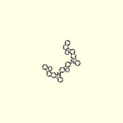 c1ccc2c(c1)ccc1oc3c4cc5c(cc4ccc3c12)c1ccccc1n5-c1ccc2c(c1)oc1cc(-n3c4ccccc4c4cc5ccc6c7ccccc7oc6c5cc43)ccc12